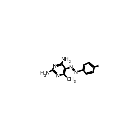 Cc1nc(N)nc(N)c1N=Nc1ccc(I)cc1